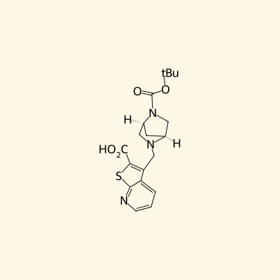 CC(C)(C)OC(=O)N1C[C@@H]2C[C@H]1CN2Cc1c(C(=O)O)sc2ncccc12